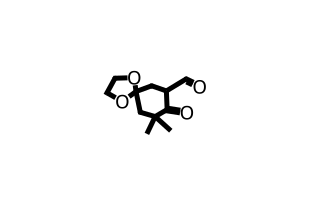 CC1(C)CC2(CC(C=O)C1=O)OCCO2